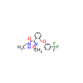 CCNC(=O)C(=NOC)c1ccccc1COc1cccc(C(F)(F)F)c1